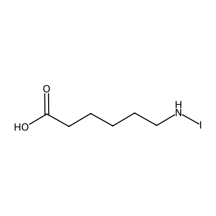 O=C(O)CCCCCNI